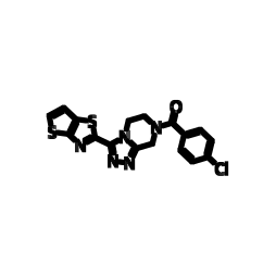 O=C(c1ccc(Cl)cc1)N1CCn2c(nnc2-c2nc3sccc3s2)C1